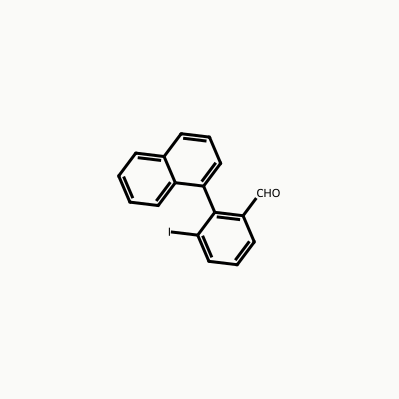 O=Cc1cccc(I)c1-c1cccc2ccccc12